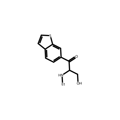 CCNC(CO)C(=O)c1ccc2ccsc2c1